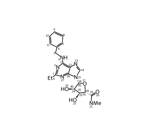 CCc1nc(NCc2ccccc2)c2ncn([C@@H]3O[C@H](C(=O)NC)[C@@H](O)[C@H]3O)c2n1